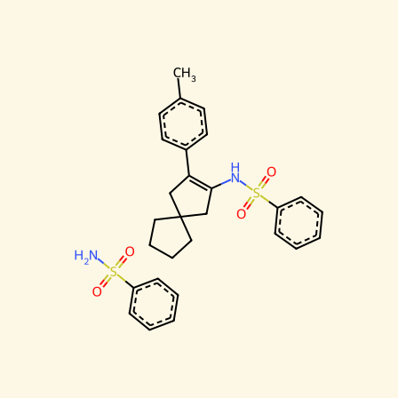 Cc1ccc(C2=C(NS(=O)(=O)c3ccccc3)CC3(CCCC3)C2)cc1.NS(=O)(=O)c1ccccc1